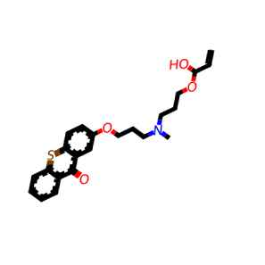 C=CC(O)OCCCN(C)CCCOc1ccc2sc3ccccc3c(=O)c2c1